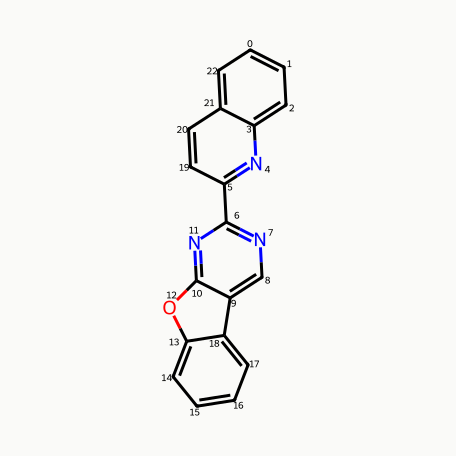 c1ccc2nc(-c3ncc4c(n3)oc3ccccc34)ccc2c1